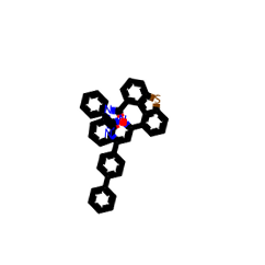 c1ccc(-c2ccc(-c3cc(-c4cccc5sc6cccc(-c7nc8ccccc8o7)c6c45)nc(-c4ccccc4)n3)cc2)cc1